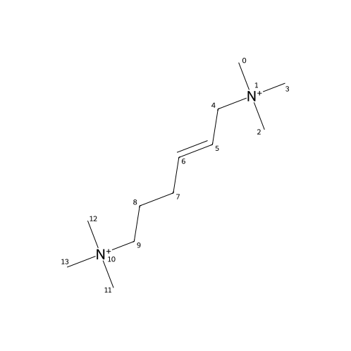 C[N+](C)(C)C/C=C/CCC[N+](C)(C)C